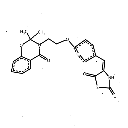 CC1(C)Oc2ccccc2C(=O)N1CCOc1ccc(C=C2NC(=O)SC2=O)cc1